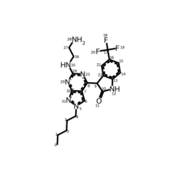 CCCCCn1cc2c(C3C(=O)Nc4ccc(C(F)(F)F)cc43)nc(NCCN)nc2n1